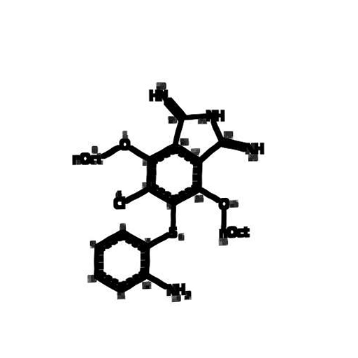 CCCCCCCCOc1c(Cl)c(Sc2ccccc2N)c(OCCCCCCCC)c2c1C(=N)NC2=N